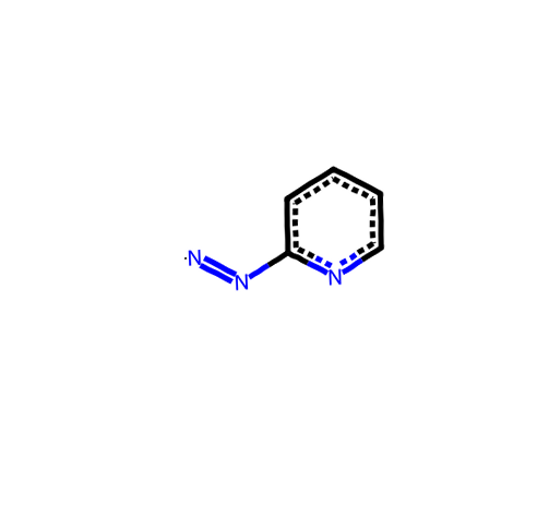 [N]=Nc1ccccn1